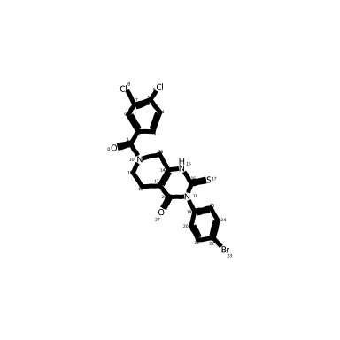 O=C(c1ccc(Cl)c(Cl)c1)N1CCc2c([nH]c(=S)n(-c3ccc(Br)cc3)c2=O)C1